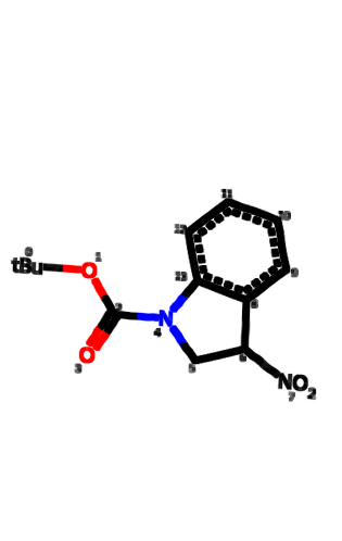 CC(C)(C)OC(=O)N1CC([N+](=O)[O-])c2ccccc21